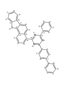 c1ccc(-c2ccc(-c3nc(-c4ccccc4)nc(-c4cccc5c4ccc4c6ccccc6sc54)n3)cc2)cc1